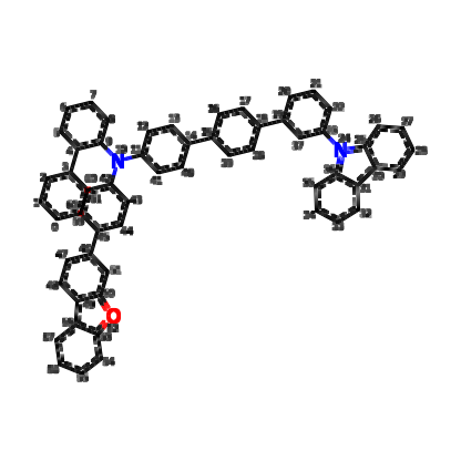 c1ccc(-c2ccccc2N(c2ccc(-c3ccc(-c4cccc(-n5c6ccccc6c6ccccc65)c4)cc3)cc2)c2ccc(-c3ccc4c(c3)oc3ccccc34)cc2)cc1